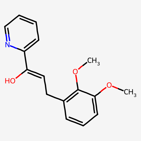 COc1cccc(CC=C(O)c2ccccn2)c1OC